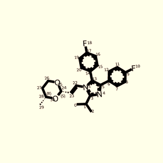 CC(C)c1nc(-c2ccc(F)cc2)c(-c2ccc(F)cc2)n1C=C[C@H]1OCC[C@@H](C)O1